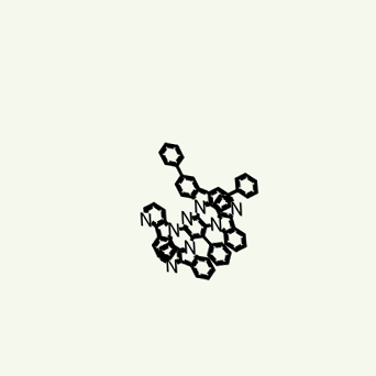 c1ccc(-c2ccc3c(c2)c2cc(-c4ccccc4)ccc2n3-c2nc(-n3c4ccccc4c4ncccc43)c(-n3c4ccccc4c4ncccc43)c(-c3ccccc3)c2-n2c3ccccc3c3ncccc32)cc1